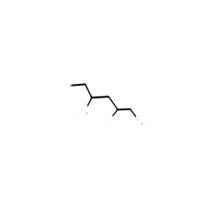 NCC(O)CC(N)CO